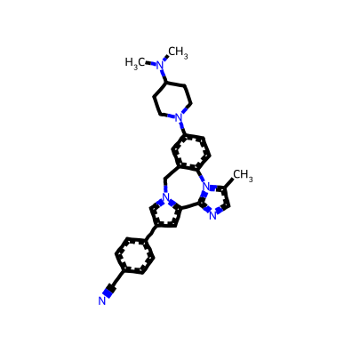 Cc1cnc2n1-c1ccc(N3CCC(N(C)C)CC3)cc1Cn1cc(-c3ccc(C#N)cc3)cc1-2